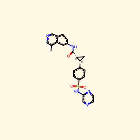 Cc1cncc2ccc(NC(=O)[C@@H]3C[C@H]3c3ccc(S(=O)(=O)Nc4cnccn4)cc3)cc12